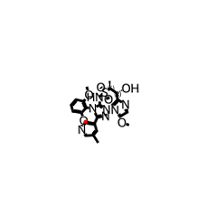 COc1cnc([C@@H](O)[C@H](C)S(=O)(=O)Nc2nnc(-c3cncc(C)c3)n2-c2c(OC)cccc2OC)cn1